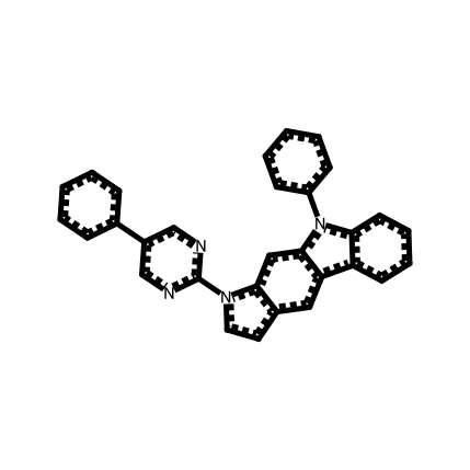 c1ccc(-c2cnc(-n3ccc4cc5c6ccccc6n(-c6ccccc6)c5cc43)nc2)cc1